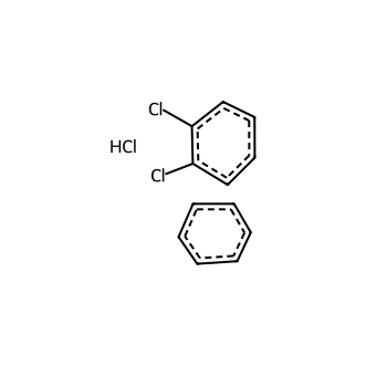 Cl.Clc1ccccc1Cl.c1ccccc1